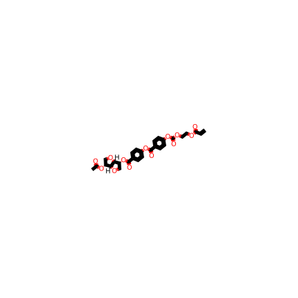 C=CC(=O)OCCOC(=O)Oc1ccc(C(=O)Oc2ccc(C(=O)O[C@@H]3CO[C@@H]4[C@H]3OC[C@H]4OC(C)=O)cc2)cc1